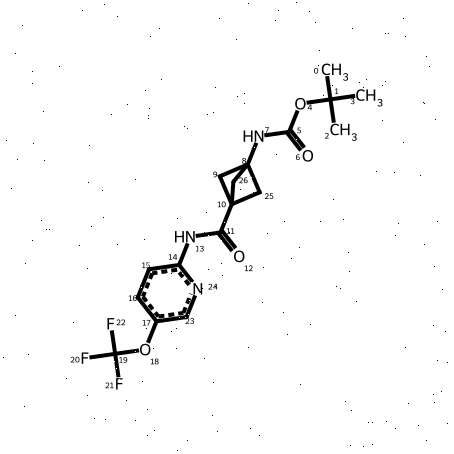 CC(C)(C)OC(=O)NC12CC(C(=O)Nc3ccc(OC(F)(F)F)cn3)(C1)C2